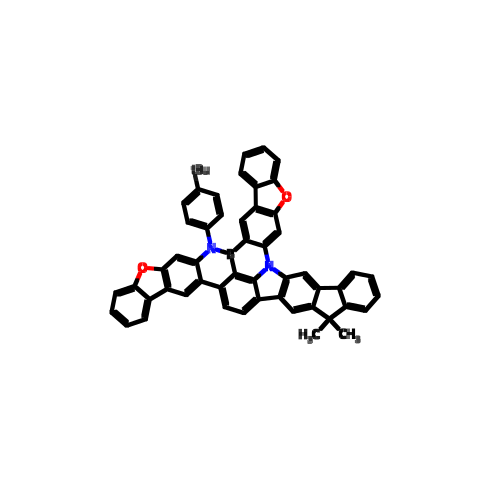 CC(C)(C)c1ccc(N2B3c4cc5c(cc4-n4c6cc7c(cc6c6ccc(c3c64)-c3cc4c(cc32)oc2ccccc24)C(C)(C)c2ccccc2-7)oc2ccccc25)cc1